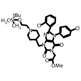 COC(=O)Cn1c(=O)c2c(nc(-c3ccccc3Cl)n2-c2ccc(Cl)cc2)n(CC2CCN(CCO[Si](C)(C)C(C)(C)C)CC2)c1=O